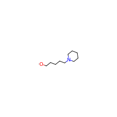 [O]CCCCCN1CCCCC1